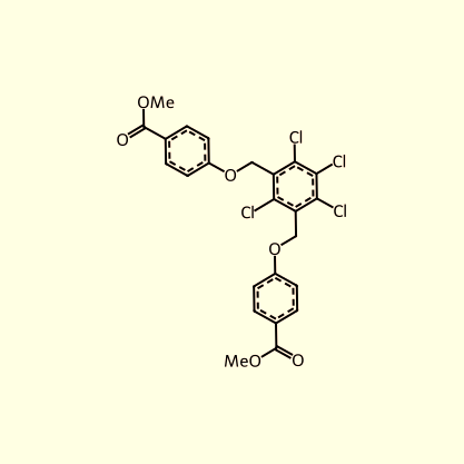 COC(=O)c1ccc(OCc2c(Cl)c(Cl)c(Cl)c(COc3ccc(C(=O)OC)cc3)c2Cl)cc1